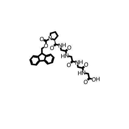 O=C(O)CNC(=O)CNC(=O)CNC(=O)CNC(=O)[C@@H]1CCCN1C(=O)OCC1c2ccccc2-c2ccccc21